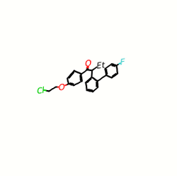 CCC(C(=O)c1ccc(OCCCl)cc1)c1ccccc1-c1ccc(F)cc1